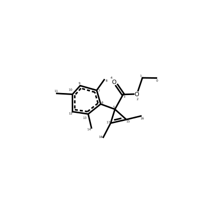 CCOC(=O)C1(c2c(C)cc(C)cc2C)C(C)=C1C